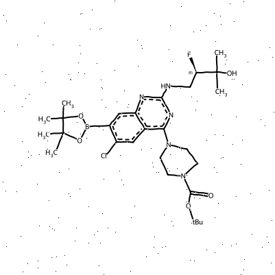 CC(C)(C)OC(=O)N1CCN(c2nc(NC[C@@H](F)C(C)(C)O)nc3cc(B4OC(C)(C)C(C)(C)O4)c(Cl)cc23)CC1